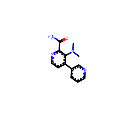 CN(C)c1c(-c2cccnc2)ccnc1C(N)=O